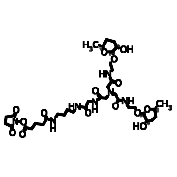 C[C@H]1CC[C@H](O)[C@H](OCCNC(=O)CN(CC(=O)NCCO[C@@H]2O[C@@H](C)CC[C@@H]2O)CC(=O)NCC(=O)NCCCCNC(=O)CCCC(=O)ON2C(=O)CCC2=O)O1